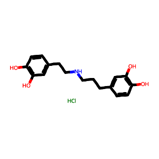 Cl.Oc1ccc(CCCNCCc2ccc(O)c(O)c2)cc1O